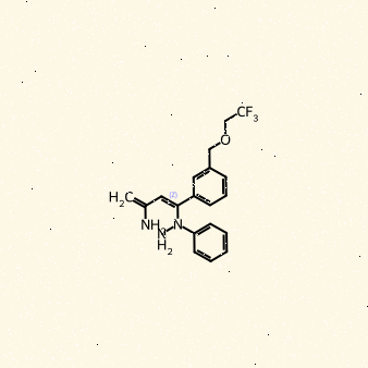 C=C(N)/C=C(/c1cccc(COCC(F)(F)F)c1)N(N)c1ccccc1